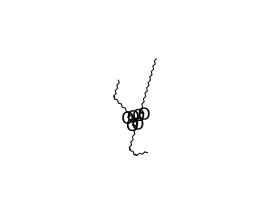 CCCC/C=C\C/C=C\CCCCCCCC(=O)O[C@H](COC(=O)CCCCCCC/C=C\CCCCCC)COC(=O)CCCCCCCCCCCCCCCCCCCC